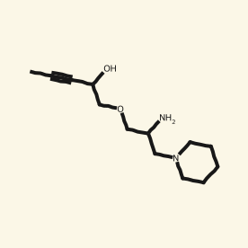 CC#CC(O)COCC(N)CN1CCCCC1